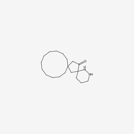 O=C1CC2(CCCCCCCCCCC2)CC12CCCNN2